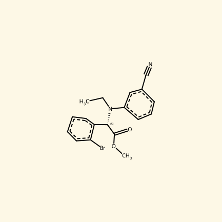 CCN(c1cccc(C#N)c1)[C@H](C(=O)OC)c1ccccc1Br